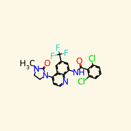 CN1CCN(c2ccnc3c(NC(=O)c4c(Cl)cccc4Cl)cc(C(F)(F)F)cc23)C1=O